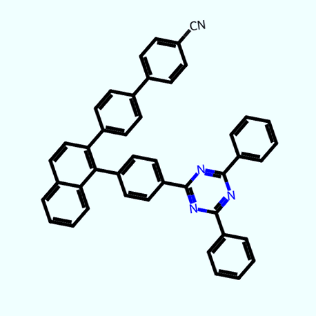 N#Cc1ccc(-c2ccc(-c3ccc4ccccc4c3-c3ccc(-c4nc(-c5ccccc5)nc(-c5ccccc5)n4)cc3)cc2)cc1